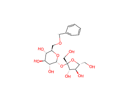 OC[C@H]1O[C@@](CO)(O[C@H]2O[C@H](CO[CH]c3ccccc3)[C@@H](O)[C@H](O)[C@H]2O)[C@@H](O)[C@@H]1O